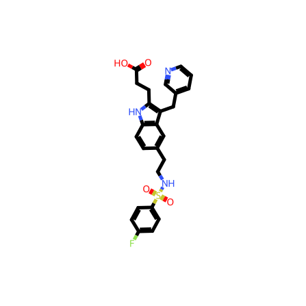 O=C(O)CCc1[nH]c2ccc(CCNS(=O)(=O)c3ccc(F)cc3)cc2c1Cc1cccnc1